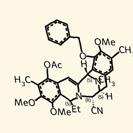 CC[C@H]1c2c(c(OC(C)=O)c(C)c(OC)c2OC)C=C2[C@@H]3c4c(cc(C)c(OC)c4OCc4ccccc4)C[C@@H]([C@H](C#N)N21)N3C